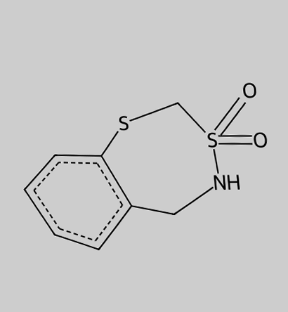 O=S1(=O)CSc2ccccc2CN1